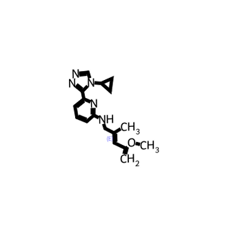 C=C(/C=C(\C)CNc1cccc(-c2nncn2C2CC2)n1)OC